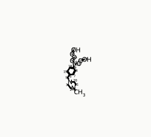 CN1CCN(Cc2ccc(N(OOO)OOOO)cc2)CC1